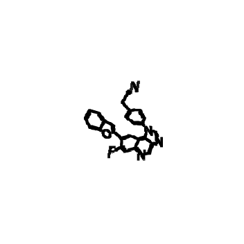 N#CCc1ccc(-n2cnc3cnc4cc(F)c(-c5cc6ccccc6o5)cc4c32)cc1